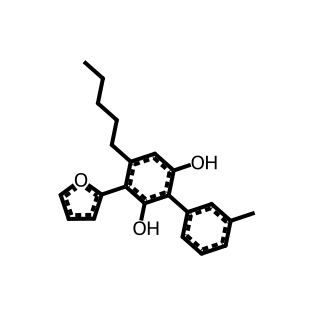 CCCCCc1cc(O)c(-c2cccc(C)c2)c(O)c1-c1ccco1